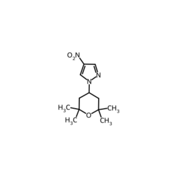 CC1(C)CC(n2cc([N+](=O)[O-])cn2)CC(C)(C)O1